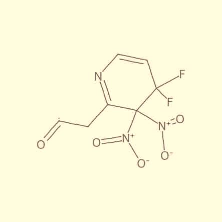 O=[C]CC1=NC=CC(F)(F)C1([N+](=O)[O-])[N+](=O)[O-]